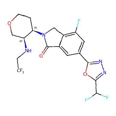 O=C1c2cc(-c3nnc(C(F)F)o3)cc(F)c2CN1[C@@H]1CCOC[C@@H]1NCC(F)(F)F